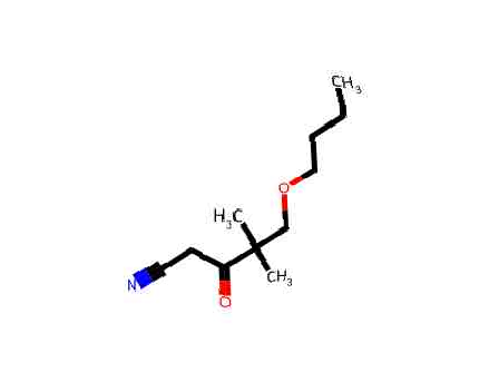 CCCCOCC(C)(C)C(=O)CC#N